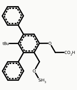 CC(C)(C)c1c(-c2ccccc2)cc(OCC(=O)O)c(CO[SiH3])c1-c1ccccc1